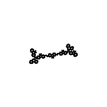 CC1(C)c2cc(/C=C/c3ccc4c(c3)C(C)(C)c3cc(N(c5ccc6c(c5)C(C)(C)c5ccccc5-6)c5cc6ccccc6c6ccccc56)ccc3-4)ccc2-c2ccc(/C=C/c3ccc4c(c3)C(C)(C)c3cc(N(c5ccc6c(c5)C(C)(C)c5ccccc5-6)c5cc6ccccc6c6ccccc56)ccc3-4)cc21